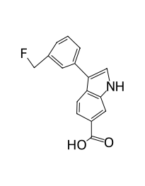 O=C(O)c1ccc2c(-c3cccc(CF)c3)c[nH]c2c1